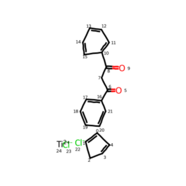 C1=CCC=C1.O=C(CC(=O)c1ccccc1)c1ccccc1.[Cl-].[Cl-].[Ti+2]